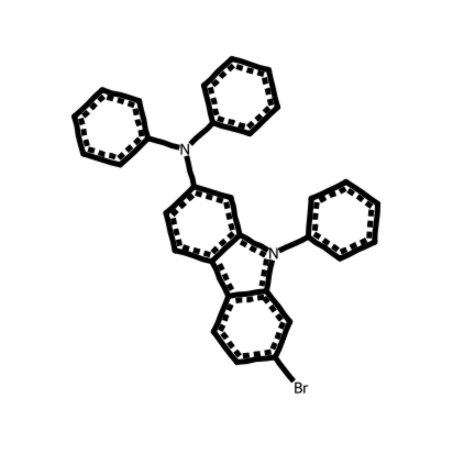 Brc1ccc2c3ccc(N(c4ccccc4)c4ccccc4)cc3n(-c3ccccc3)c2c1